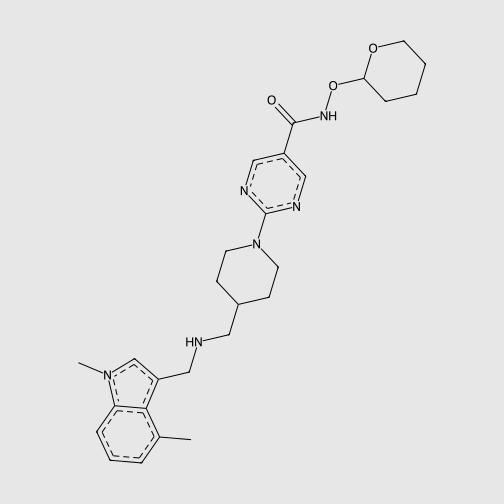 Cc1cccc2c1c(CNCC1CCN(c3ncc(C(=O)NOC4CCCCO4)cn3)CC1)cn2C